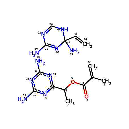 C=C(C)C(=O)OC(C)c1nc(N)nc(N)n1.C=CC1(N)N=C(N)N=CN1